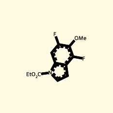 CCOC(=O)n1ccc2c(F)c(OC)c(F)cc21